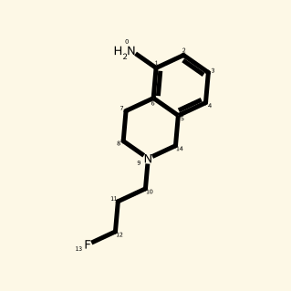 Nc1cccc2c1CCN(CCCF)C2